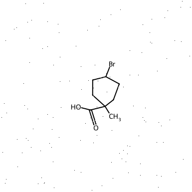 CC1(C(=O)O)CCC(Br)CC1